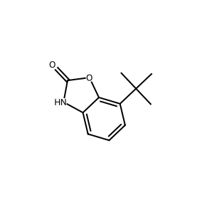 CC(C)(C)c1cccc2[nH]c(=O)oc12